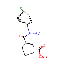 NN(C(=O)C1CCCN(C(=O)O)C1)c1ccc(F)cc1